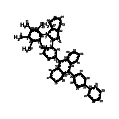 Bc1c(B)c(B)c(-n2c(-c3cccc(-c4c5ccccc5c(-c5ccc(-c6ccccn6)cc5)c5ccccc45)c3)nc3ccccc32)c(B)c1B